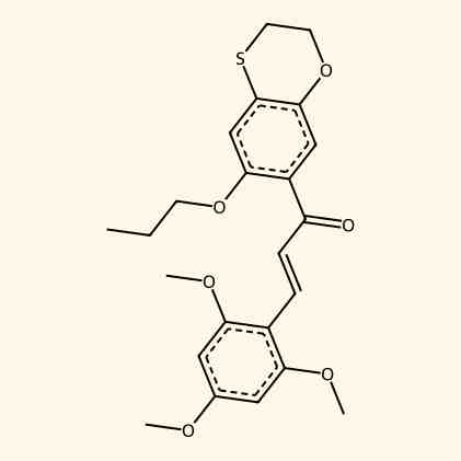 CCCOc1cc2c(cc1C(=O)C=Cc1c(OC)cc(OC)cc1OC)OCCS2